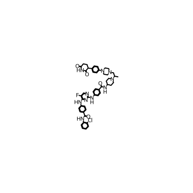 CC(CN1CCN(c2ccc(C3CCC(=O)NC3=O)cc2)CC1)N1CCC(NC(=O)c2ccc(Nc3ncc(F)c(Nc4ccc(C(=O)Nc5ccccc5Cl)cc4)n3)cc2)CC1